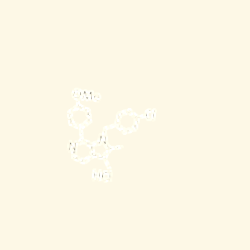 COc1ccc(-c2nccc3c(C)c(C)n(Cc4ccc(Cl)cc4)c23)cc1.Cl